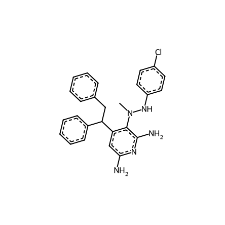 CN(Nc1ccc(Cl)cc1)c1c(C(Cc2ccccc2)c2ccccc2)cc(N)nc1N